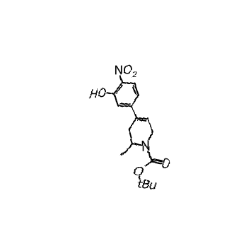 CC1CC(c2ccc([N+](=O)[O-])c(O)c2)=CCN1C(=O)OC(C)(C)C